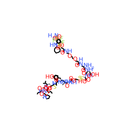 CCCC(=O)OCN(C(=O)[C@@H](NC(=O)C1CCCCN1C)[C@@H](C)CC)[C@H](C[C@@H](OC(C)=O)c1nc(C(=O)N[C@@H](Cc2ccc(O)cc2)C[C@H](C)C(=O)NNC(=O)OCCSSC[C@H](NC(=O)[C@H](CC(=O)O)NC(=O)[C@@H](N)CNC(=O)CCOCCOCCNC(=O)CCS(=O)(=O)c2c(F)c(F)c(S(N)(=O)=O)c(F)c2NC2CCCCCCC2)C(=O)O)cs1)C(C)C